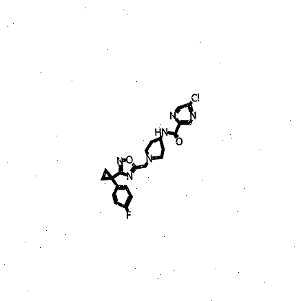 O=C(NC1CCN(Cc2nc(C3(c4ccc(F)cc4)CC3)no2)CC1)c1cnc(Cl)cn1